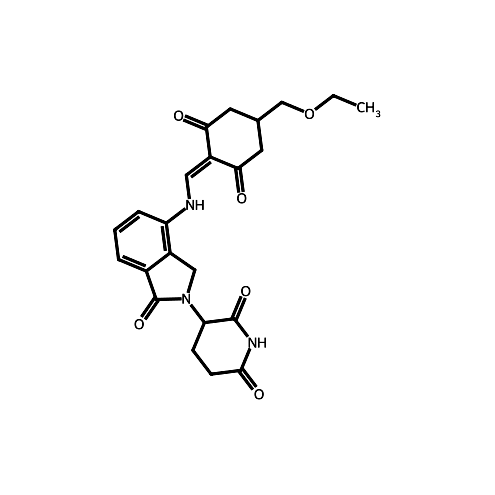 CCOCC1CC(=O)C(=CNc2cccc3c2CN(C2CCC(=O)NC2=O)C3=O)C(=O)C1